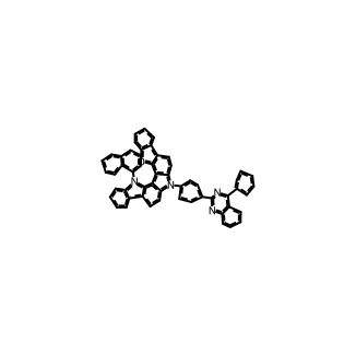 c1ccc(-c2nc(-c3ccc(-n4c5ccc6c7ccccc7oc6c5c5c4ccc4c6ccccc6n(-c6cccc7ccccc67)c45)cc3)nc3ccccc23)cc1